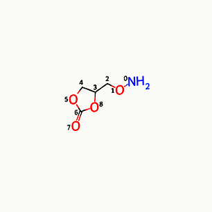 NOCC1COC(=O)O1